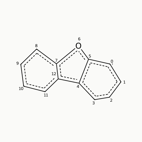 [c]1cccc2c1oc1ccccc12